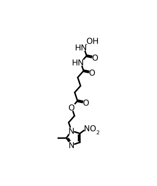 Cc1ncc([N+](=O)[O-])n1CCOC(=O)CCCC(=O)NC(=O)NO